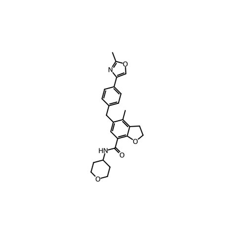 Cc1nc(-c2ccc(Cc3cc(C(=O)NC4CCOCC4)c4c(c3C)CCO4)cc2)co1